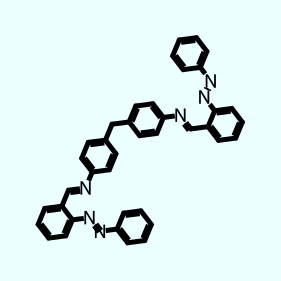 C(=Nc1ccc(Cc2ccc(N=Cc3ccccc3N=Nc3ccccc3)cc2)cc1)c1ccccc1N=Nc1ccccc1